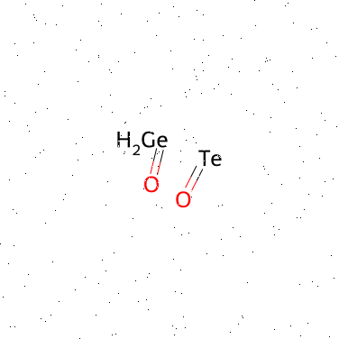 O=[Te].[O]=[GeH2]